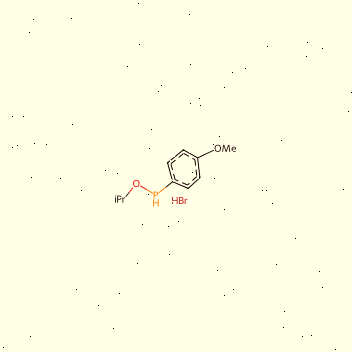 Br.COc1ccc(POC(C)C)cc1